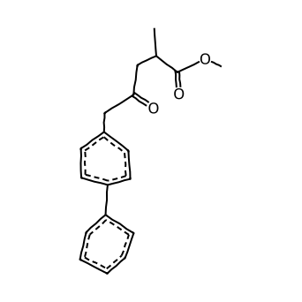 COC(=O)C(C)CC(=O)Cc1ccc(-c2ccccc2)cc1